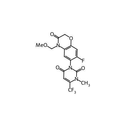 COCN1C(=O)COc2cc(F)c(-n3c(=O)cc(C(F)(F)F)n(C)c3=O)cc21